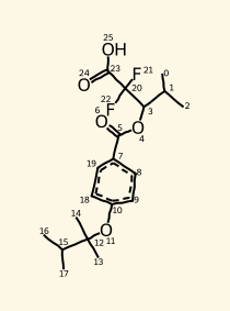 CC(C)C(OC(=O)c1ccc(OC(C)(C)C(C)C)cc1)C(F)(F)C(=O)O